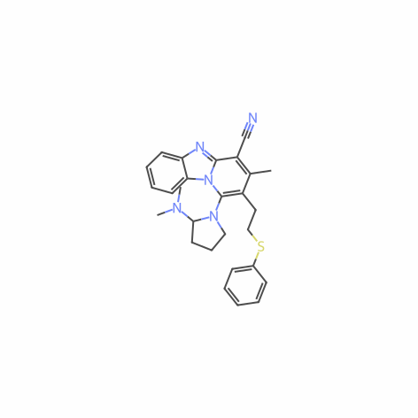 Cc1c(CCSc2ccccc2)c(N2CCCC2N(C)C)n2c(nc3ccccc32)c1C#N